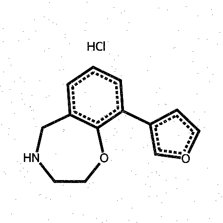 Cl.c1cc2c(c(-c3ccoc3)c1)OCCNC2